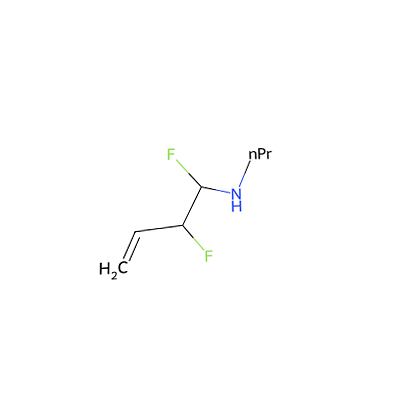 C=CC(F)C(F)NCCC